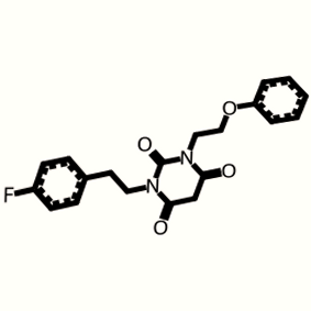 O=C1CC(=O)N(CCc2ccc(F)cc2)C(=O)N1CCOc1ccccc1